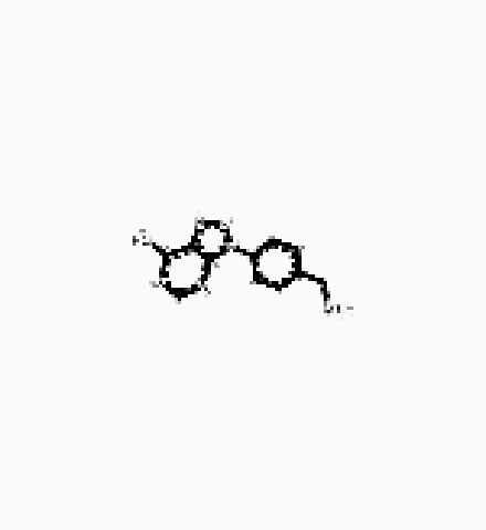 O=C(O)Cc1ccc(-n2nnc3c(O)ncnc32)cc1